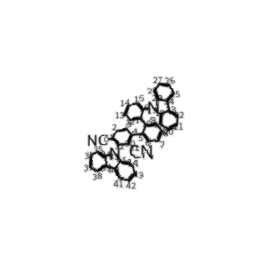 N#Cc1ccc(-c2ccccc2-c2ccccc2-n2c3ccccc3c3ccccc32)c(C#N)c1-n1c2ccccc2c2ccccc21